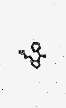 COC[C@@H]1CCCN1C(=O)c1ccccc1